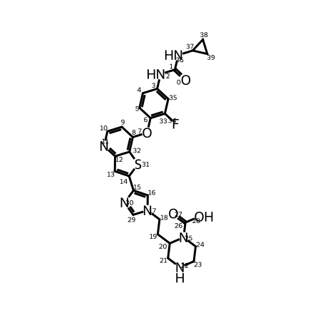 O=C(Nc1ccc(Oc2ccnc3cc(-c4cn(CCC5CNCCN5C(=O)O)cn4)sc23)c(F)c1)NC1CC1